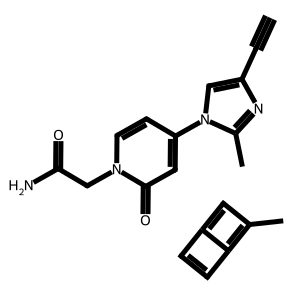 C#Cc1cn(-c2ccn(CC(N)=O)c(=O)c2)c(C)n1.Cc1cc2ccc1-2